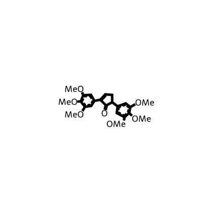 COc1cc(C2=CCC(c3cc(OC)c(OC)c(OC)c3)C2=O)cc(OC)c1OC